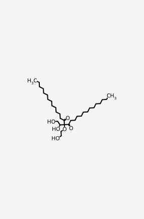 CCCCCCCCCCCCCC(=O)C(OCCO)(C(=O)CCCCCCCCCCCCC)C(O)CO